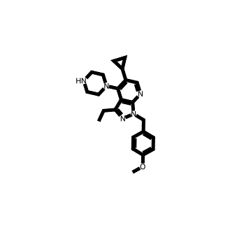 CCc1nn(Cc2ccc(OC)cc2)c2ncc(C3CC3)c(N3CCNCC3)c12